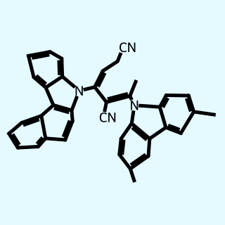 C/C(=C(C#N)\C(=C/CC#N)n1c2ccccc2c2c3ccccc3ccc21)n1c2ccc(C)cc2c2cc(C)ccc21